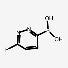 OB(O)c1ccc(F)nn1